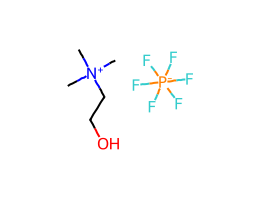 C[N+](C)(C)CCO.F[P-](F)(F)(F)(F)F